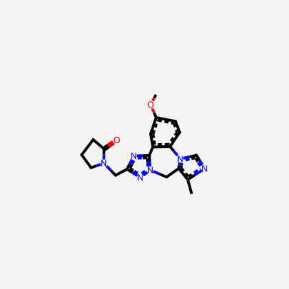 COc1ccc2c(c1)-c1nc(CN3CCCC3=O)nn1Cc1c(C)ncn1-2